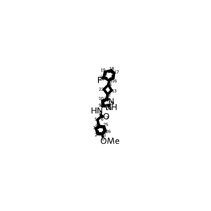 COc1ccc(CC(=O)Nc2cc(C3CC(c4ccccc4F)C3)n[nH]2)cc1